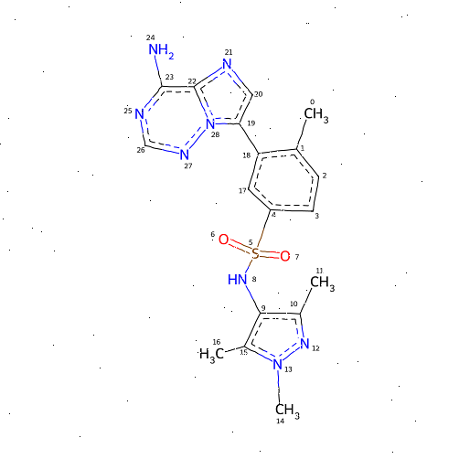 Cc1ccc(S(=O)(=O)Nc2c(C)nn(C)c2C)cc1-c1cnc2c(N)ncnn12